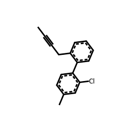 CC#CCc1ccccc1-c1ccc(C)cc1Cl